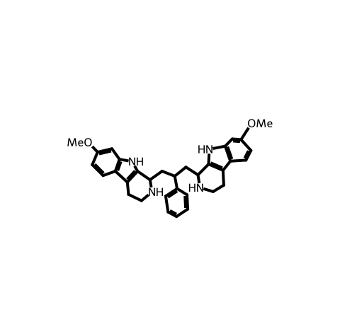 COc1ccc2c3c([nH]c2c1)C(CC(CC1NCCc2c1[nH]c1cc(OC)ccc21)c1ccccc1)NCC3